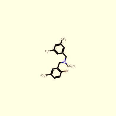 O=C(O)N(Cc1cc(C(F)(F)F)cc(C(F)(F)F)c1)Cc1cc([N+](=O)[O-])ccc1Br